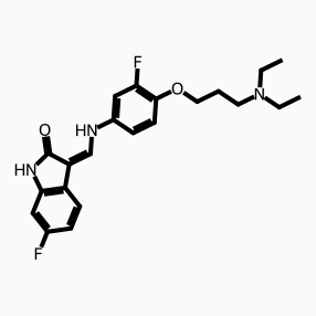 CCN(CC)CCCOc1ccc(NC=C2C(=O)Nc3cc(F)ccc32)cc1F